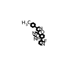 Cc1ccc(-c2cnc3c(c2)[C@]2(C=NCC(N)O2)c2cc(-c4cccnc4F)ccc2O3)cc1